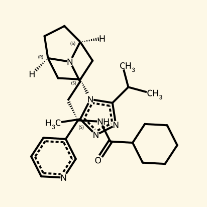 Cc1nnc(C(C)C)n1[C@@H]1C[C@H]2CC[C@@H](C1)N2CC[C@H](NC(=O)C1CCCCC1)c1cccnc1